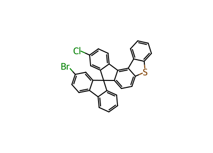 Clc1ccc2c(c1)C1(c3ccccc3-c3ccc(Br)cc31)c1ccc3sc4ccccc4c3c1-2